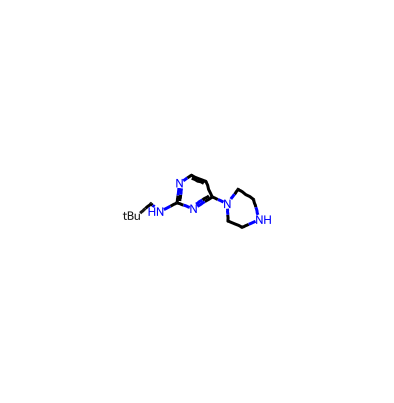 CC(C)(C)CNc1nccc(N2CCNCC2)n1